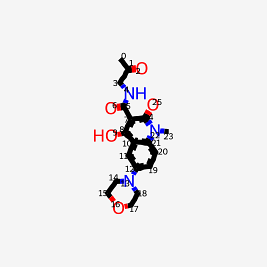 CC(=O)CNC(=O)c1c(O)c2cc(N3CCOCC3)ccc2n(C)c1=O